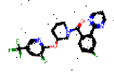 O=C(c1ccc(F)cc1-c1ncccn1)N1CCCC(Oc2ncc(C(F)(F)F)cc2F)C1